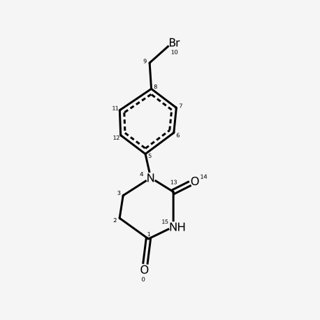 O=C1CCN(c2ccc(CBr)cc2)C(=O)N1